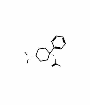 CCC(=O)O[C@]1(c2ccccc2)CC[C@@H](N(C)C)CC1